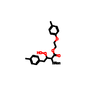 CCCCCCCCCC(C(=O)OCCOc1ccc(C)cc1)C(Cc1ccc(C)cc1)OO